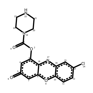 O=C(Oc1cc(=O)cc2oc3ccc(Cl)cc3nc1-2)N1CCNCC1